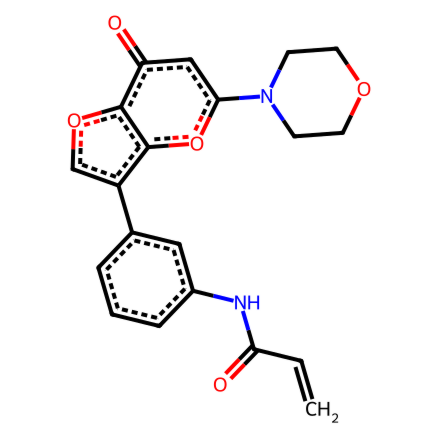 C=CC(=O)Nc1cccc(-c2coc3c(=O)cc(N4CCOCC4)oc23)c1